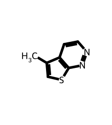 Cc1csc2nnccc12